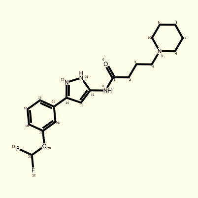 O=C(CCCN1CCCCC1)Nc1cc(-c2cccc(OC(F)F)c2)n[nH]1